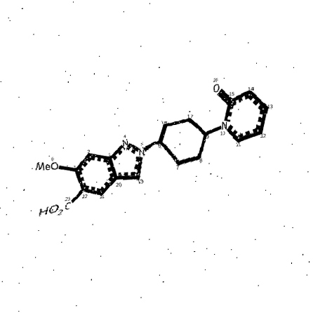 COc1cc2nn(C3CCC(n4ccccc4=O)CC3)cc2cc1C(=O)O